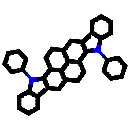 c1ccc(-n2c3ccccc3c3cc4ccc5c6c(ccc(c46)c32)cc2c3ccccc3n(-c3ccccc3)c25)cc1